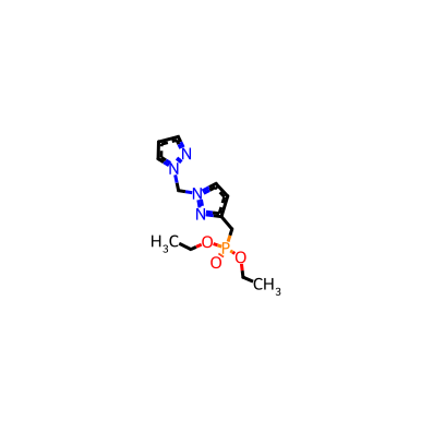 CCOP(=O)(Cc1ccn(Cn2cccn2)n1)OCC